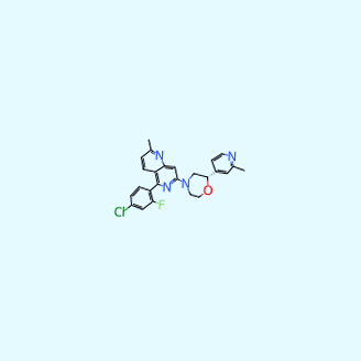 Cc1cc([C@H]2CN(c3cc4nc(C)ccc4c(-c4ccc(Cl)cc4F)n3)CCO2)ccn1